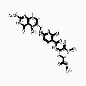 CC(=O)Nc1nc2c(c(=O)[nH]1)N(C)[C@@H](CNc1ccc(C(=O)N[C@@H](CCC(=O)OC(C)(C)C)C(=O)OC(C)(C)C)c(Cl)n1)CN2